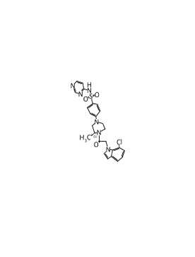 C[C@H]1CN(c2ccc(S(=O)(=O)Nc3ccncn3)cc2)CCN1C(=O)Cn1ccc2cccc(Cl)c21